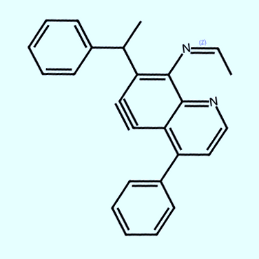 C/C=N\c1c(C(C)c2ccccc2)c#cc2c(-c3ccccc3)ccnc12